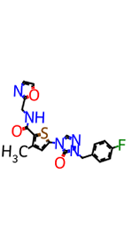 Cc1cc(-n2cnn(Cc3ccc(F)cc3)c2=O)sc1C(=O)NCc1ncco1